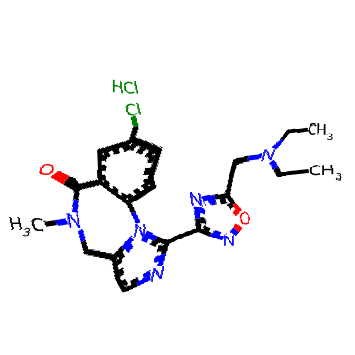 CCN(CC)Cc1nc(-c2ncc3n2-c2ccc(Cl)cc2C(=O)N(C)C3)no1.Cl